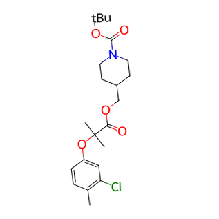 Cc1ccc(OC(C)(C)C(=O)OCC2CCN(C(=O)OC(C)(C)C)CC2)cc1Cl